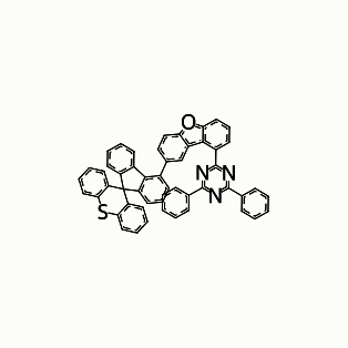 c1ccc(-c2nc(-c3ccccc3)nc(-c3cccc4oc5ccc(-c6cccc7c6-c6ccccc6C76c7ccccc7Sc7ccccc76)cc5c34)n2)cc1